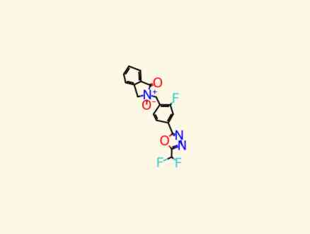 O=C1c2ccccc2C[N+]1([O-])Cc1ccc(-c2nnc(C(F)F)o2)cc1F